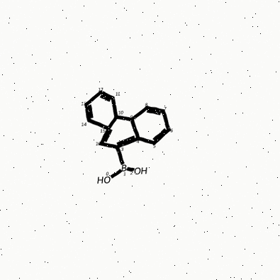 OB(O)C1=C2C=CC=CC2C2C=CC=CC2=C1